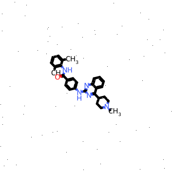 Cc1cccc(C)c1NC(=O)c1ccc(Nc2nc(C3CCN(C)CC3)c3ccccc3n2)cc1